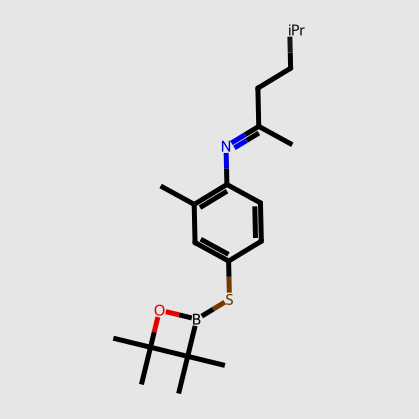 C/C(CCC(C)C)=N\c1ccc(SB2OC(C)(C)C2(C)C)cc1C